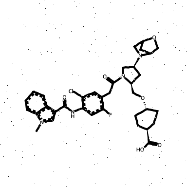 Cn1cc(C(=O)Nc2cc(F)c(CC(=O)N3C[C@@H](N4CC5CC4CO5)C[C@H]3CO[C@H]3CC[C@H](C(=O)O)CC3)cc2Cl)c2ccccc21